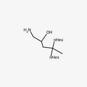 CCCCCCC(C)(CCCCCC)CC(O)CN